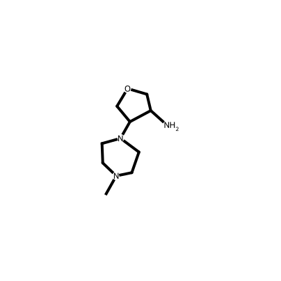 CN1CCN(C2COCC2N)CC1